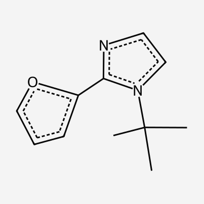 CC(C)(C)n1ccnc1-c1ccco1